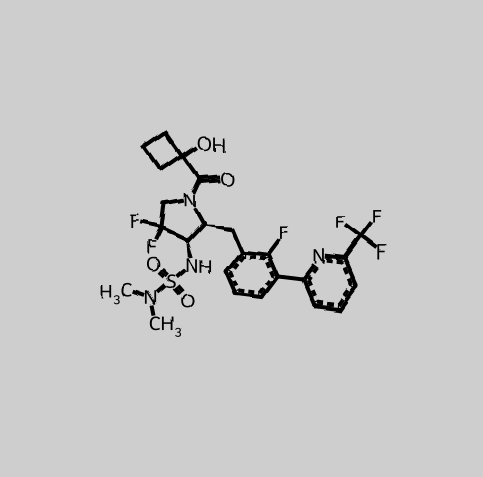 CN(C)S(=O)(=O)N[C@@H]1[C@H](Cc2cccc(-c3cccc(C(F)(F)F)n3)c2F)N(C(=O)C2(O)CCC2)CC1(F)F